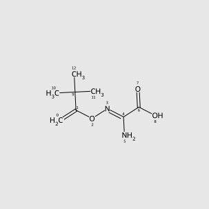 C=C(O/N=C(\N)C(=O)O)C(C)(C)C